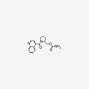 NC(=O)OCC1CCCN1C(=O)c1ccnc2ccccc12